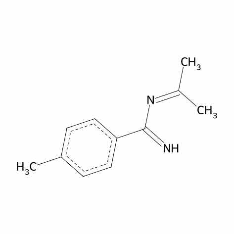 CC(C)=NC(=N)c1ccc(C)cc1